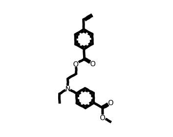 C=Cc1ccc(C(=O)OCCN(CC)c2ccc(C(=O)OC)cc2)cc1